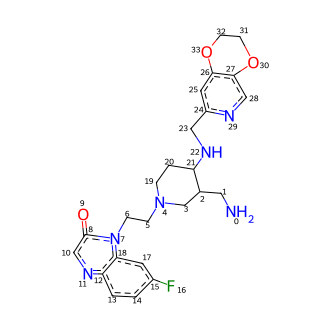 NCC1CN(CCn2c(=O)cnc3ccc(F)cc32)CCC1NCc1cc2c(cn1)OCCO2